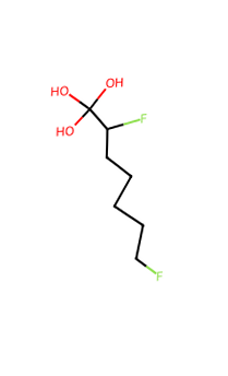 OC(O)(O)C(F)CCCCCF